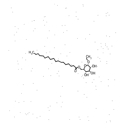 CCCCCCCCCCCCCCCCCC(=O)OC[C@H]1O[C@H](OCC)[C@H](O)[C@@H](O)[C@@H]1O